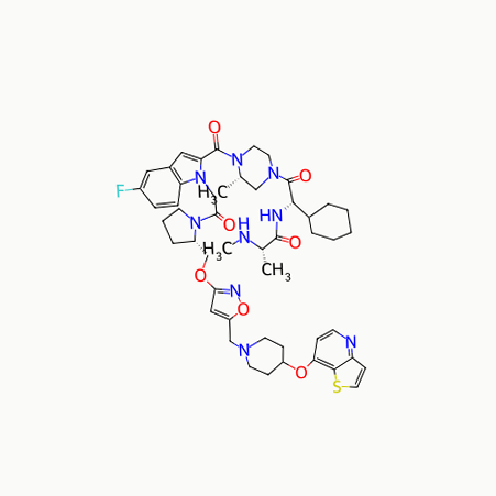 CN[C@@H](C)C(=O)N[C@H](C(=O)N1CCN(C(=O)c2cc3cc(F)ccc3n2CC(=O)N2CCC[C@H]2COc2cc(CN3CCC(Oc4ccnc5ccsc45)CC3)on2)[C@@H](C)C1)C1CCCCC1